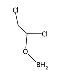 BOC(Cl)CCl